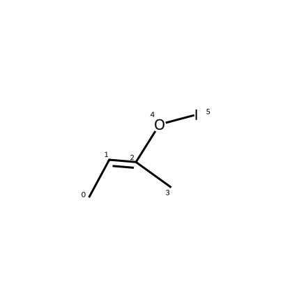 C/C=C(\C)OI